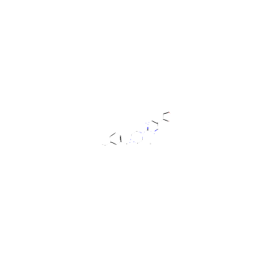 CCCC[C@@H]1CN(Cc2cccc(CC(=O)O)c2)CCN1c1ncc(-c2ccoc2)cn1